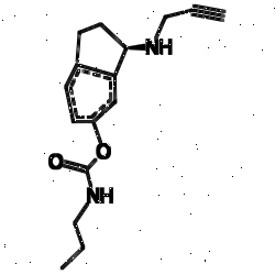 C#CCN[C@@H]1CCc2ccc(OC(=O)NCCC)cc21